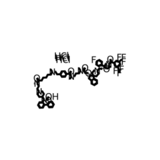 CN(CCCCCC(=O)N(C)CCN1CCC(N(C(=O)O)c2ccccc2-c2ccccc2)CC1)CCc1ccc(C(=O)N(C)CCCN(C)C(=O)CO[C@H]2Cc3ccccc3C23CCN(CC[C@]2(c4ccc(F)cc4)CN(C(=O)c4cc(C(F)(F)F)cc(C(F)(F)F)c4)CO2)CC3)cc1.Cl.Cl.Cl